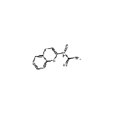 N=C(N)[PH](=O)C1=CCc2ccccc2O1